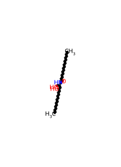 CCCCCCCCCCCCCCCCCC(=O)NC[C@@H](CO)C[C@H](O)CCCCCCCCCCCCCC